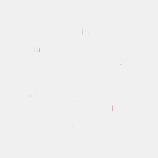 O=C1C(=O)C(Br)=C(Br)C(Br)=C1Br